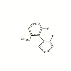 O=Cc1cccc(F)c1-c1ccccc1F